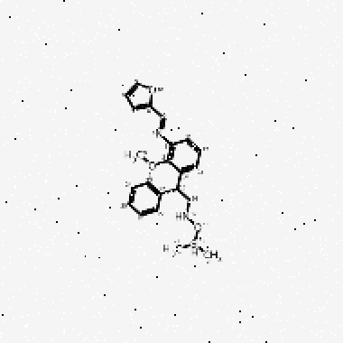 COc1c(N=Cc2ccco2)cccc1C(CNO[SiH](C)C)c1ccccc1